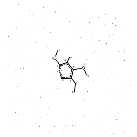 CCc1ccc(OC)c(C)c1OC